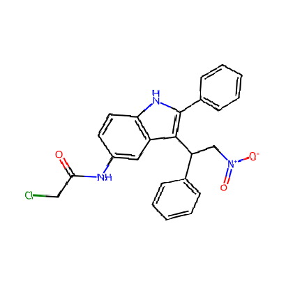 O=C(CCl)Nc1ccc2[nH]c(-c3ccccc3)c(C(C[N+](=O)[O-])c3ccccc3)c2c1